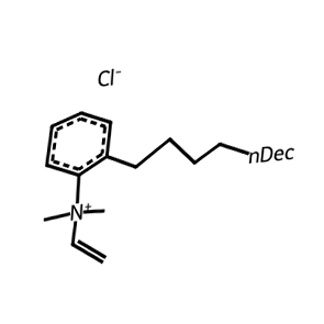 C=C[N+](C)(C)c1ccccc1CCCCCCCCCCCCCC.[Cl-]